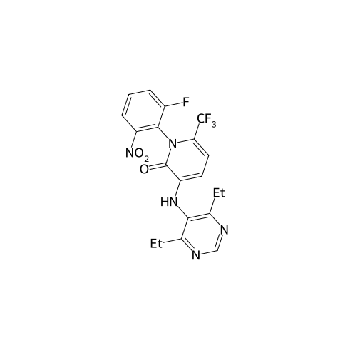 CCc1ncnc(CC)c1Nc1ccc(C(F)(F)F)n(-c2c(F)cccc2[N+](=O)[O-])c1=O